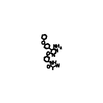 C=C(C#N)C(=O)Nc1cccc(Oc2ncnc(N)c2-c2ccc(Oc3ccccc3)cc2)c1